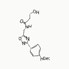 CCCCCCCCCCc1ccc(-c2noc(CNC(=O)CCO)n2)cc1